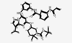 C=CC(=O)Nc1cccc(C(=O)Nc2cccc(Nc3cc(OC4CCC(C)(C)N(C(=O)OC(C)(C)C)C4)nc4c(C(C)C)cnn34)c2)c1